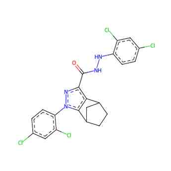 O=C(NNc1ccc(Cl)cc1Cl)c1nn(-c2ccc(Cl)cc2Cl)c2c1C1CCC2C1